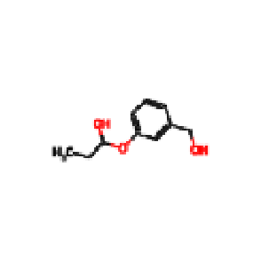 CCC(O)Oc1cccc(CO)c1